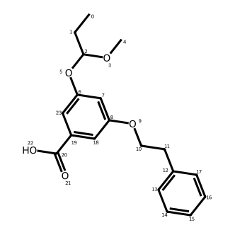 CCC(OC)Oc1cc(OCCc2ccccc2)cc(C(=O)O)c1